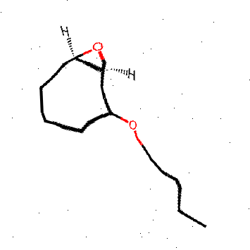 CCCCOC1CCC[C@H]2O[C@@H]12